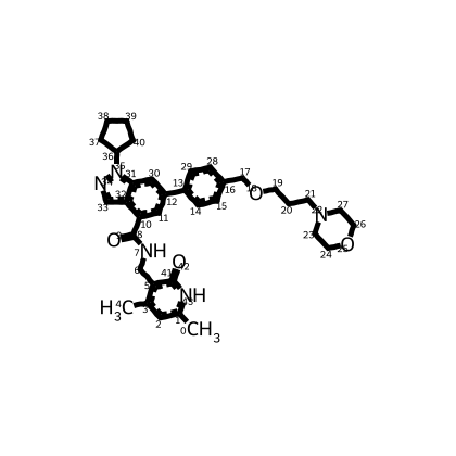 Cc1cc(C)c(CNC(=O)c2cc(-c3ccc(COCCCN4CCOCC4)cc3)cc3c2cnn3C2CCCC2)c(=O)[nH]1